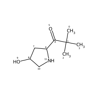 CC(C)(C)C(=O)C1CC(O)CN1